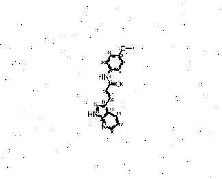 COc1ccc(NC(=O)C=Cc2c[nH]c3ncccc23)cc1